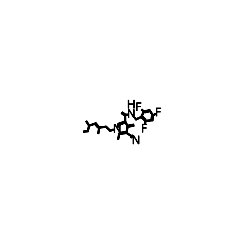 C=C(NCc1c(F)cc(F)cc1F)C1=CN(CC/C(C)=C/C(C)CC)C(C)=C(C#N)C1=C